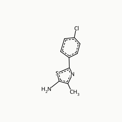 Cc1nc(-c2ccc(Cl)cc2)sc1N